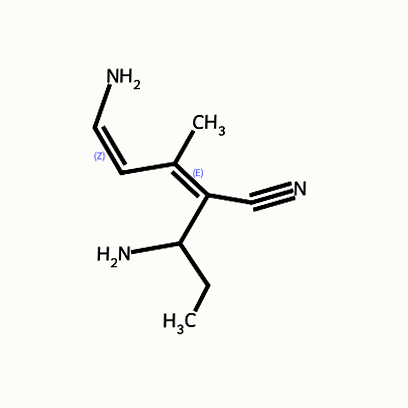 CCC(N)/C(C#N)=C(C)\C=C/N